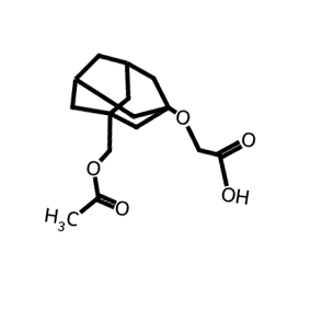 CC(=O)OCC12CC3CC(C1)CC(OCC(=O)O)(C3)C2